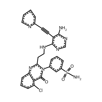 Nc1ncnc(NCCc2nc3cccc(Cl)c3c(=O)n2-c2cccc(S(N)(=O)=O)c2)c1C#Cc1ccccn1